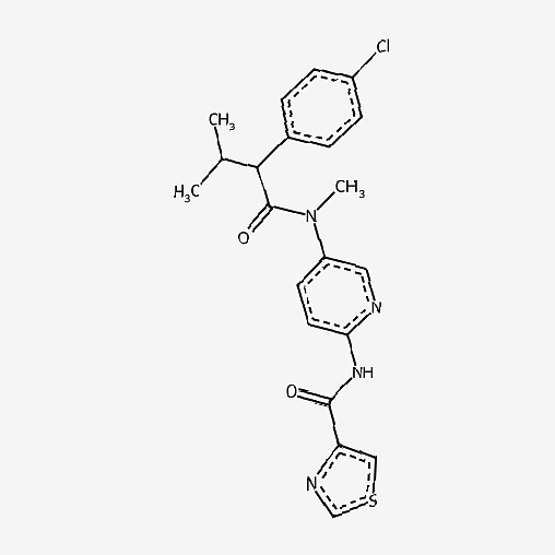 CC(C)C(C(=O)N(C)c1ccc(NC(=O)c2cscn2)nc1)c1ccc(Cl)cc1